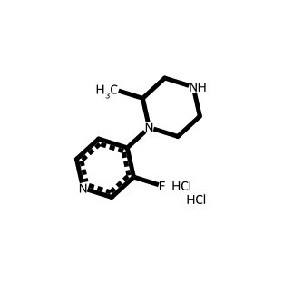 CC1CNCCN1c1ccncc1F.Cl.Cl